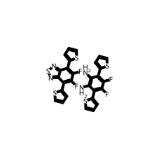 Fc1c(F)c(-c2cccs2)c2nsnc2c1-c1cccs1.Nc1c(N)c(-c2cccs2)c(F)c(F)c1-c1cccs1